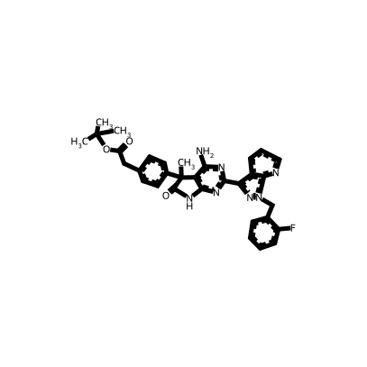 CC(C)(C)OC(=O)Cc1ccc(C2(C)C(=O)Nc3nc(-c4nn(Cc5ccccc5F)c5ncccc45)nc(N)c32)cc1